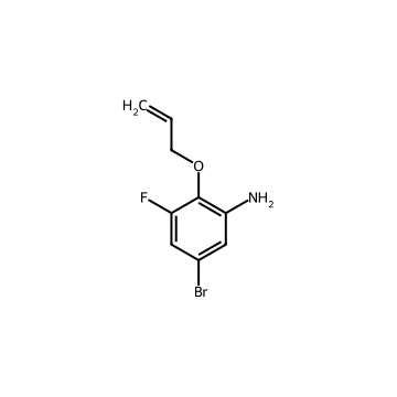 C=CCOc1c(N)cc(Br)cc1F